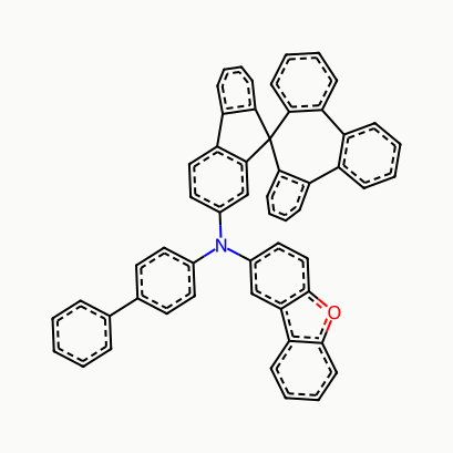 c1ccc(-c2ccc(N(c3ccc4c(c3)C3(c5ccccc5-c5ccccc5-c5ccccc53)c3ccccc3-4)c3ccc4oc5ccccc5c4c3)cc2)cc1